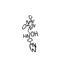 Cn1c(=O)c2c(ncn2CC(O)Nc2ccc(-c3ccncn3)cc2)n(C)c1=O